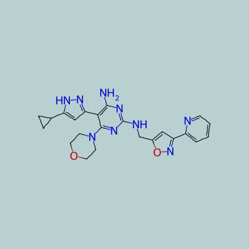 Nc1nc(NCc2cc(-c3ccccn3)no2)nc(N2CCOCC2)c1-c1cc(C2CC2)[nH]n1